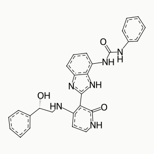 O=C(Nc1ccccc1)Nc1cccc2nc(-c3c(NC[C@@H](O)c4ccccc4)cc[nH]c3=O)[nH]c12